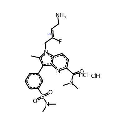 Cc1c(-c2cccc(S(=O)(=O)N(C)C)c2)c2nc(C(=O)N(C)C)ccc2n1C/C(F)=C/CN.Cl.Cl